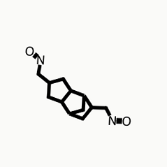 O=NCC1CC2C3CC(CN=O)C(C3)C2C1